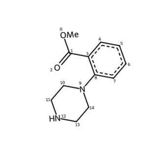 COC(=O)c1ccccc1N1CCNCC1